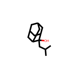 CC(C)CC1(O)C2CC3CC(C2)CC1C3